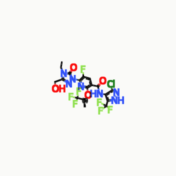 CCn1c(CO)nn(-c2nc(O[C@@H](C)C(F)(F)F)c(C(=O)Nc3c(Cl)n[nH]c3C(F)(F)F)cc2F)c1=O